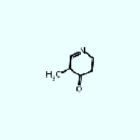 C[C@H]1C=NCCC1=O